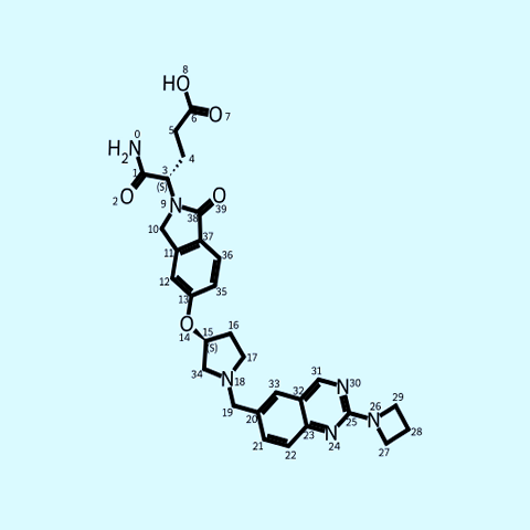 NC(=O)[C@H](CCC(=O)O)N1Cc2cc(O[C@H]3CCN(Cc4ccc5nc(N6CCC6)ncc5c4)C3)ccc2C1=O